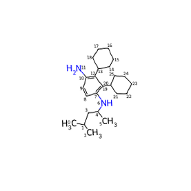 CC(C)CC(C)Nc1ccc(N)c(C2CCCCC2)c1C1CCCCC1